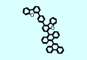 c1ccc2c(c1)cc(-c1c3ccccc3c(-c3ccc(-c4ccc(-c5cccc6c5oc5ccccc56)cc4)c4c3oc3ccccc34)c3ccccc13)c1ccccc12